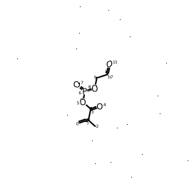 C=C(C)C(=O)O[P](=O)OCC=O